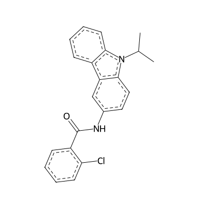 CC(C)n1c2ccccc2c2cc(NC(=O)c3ccccc3Cl)ccc21